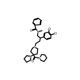 CN(CC(CCN1CCC(C(=O)N2CCCCC2)(N2CCCC2)CC1)c1ccc(Cl)c(Cl)c1)C(=O)c1ccccc1